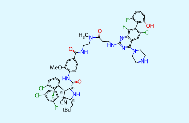 COc1cc(C(=O)NCCN(C)C(=O)CCNc2nc(N3CCNCC3)c3cc(Cl)c(-c4c(O)cccc4F)c(F)c3n2)ccc1NC(=O)[C@@H]1N[C@@H](CC(C)(C)C)[C@](C#N)(c2ccc(Cl)cc2F)[C@H]1c1cccc(Cl)c1F